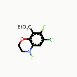 CCOC(=O)c1c(F)c(Cl)cc2c1OCCN2F